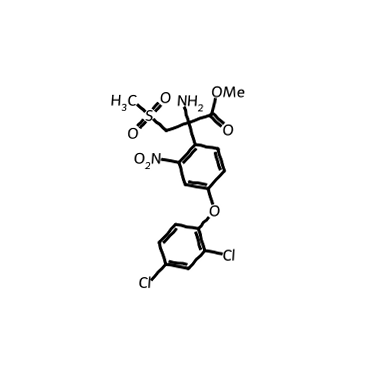 COC(=O)C(N)(CS(C)(=O)=O)c1ccc(Oc2ccc(Cl)cc2Cl)cc1[N+](=O)[O-]